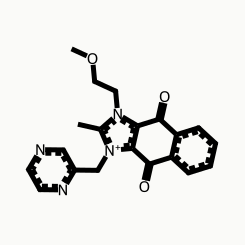 COCCn1c2c([n+](Cc3cnccn3)c1C)C(=O)c1ccccc1C2=O